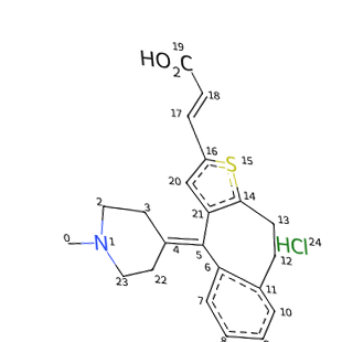 CN1CCC(=C2c3ccccc3CCc3sc(C=CC(=O)O)cc32)CC1.Cl